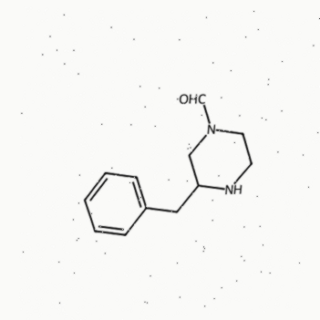 O=[C]N1CCNC(Cc2ccccc2)C1